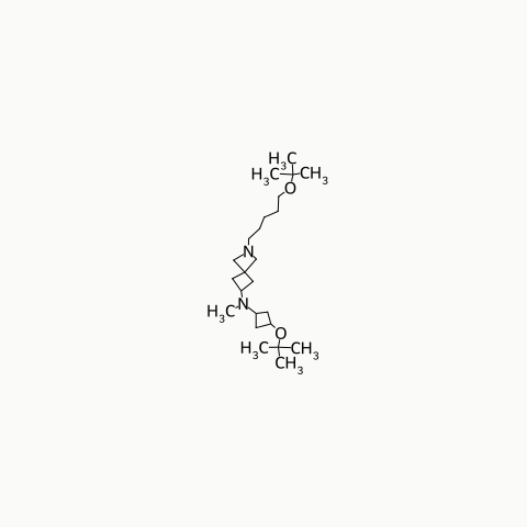 CN(C1CC(OC(C)(C)C)C1)C1CC2(C1)CN(CCCCCOC(C)(C)C)C2